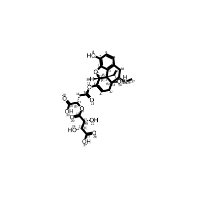 CC[C@]12c3c4ccc(O)c3O[C@H]1C(OC(=O)C[C@H](OC(=O)[C@H](O)[C@@H](O)C(=O)O)C(=O)O)=CC[C@@]2(O)[C@H](NC)C4